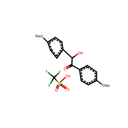 COc1ccc(C(=O)C(O)c2ccc(OC)cc2)cc1.O=S(=O)(O)C(F)(F)F